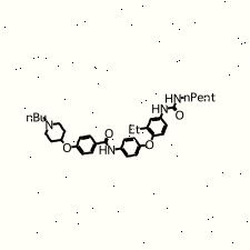 CCCCCNC(=O)Nc1ccc(Oc2ccc(NC(=O)c3ccc(OC4CCN(CCCC)CC4)cc3)cc2)c(CC)c1